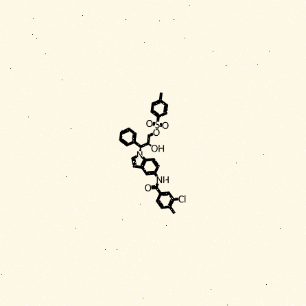 Cc1ccc(S(=O)(=O)OC[C@@H](O)[C@H](c2ccccc2)n2ccc3cc(NC(=O)c4ccc(C)c(Cl)c4)ccc32)cc1